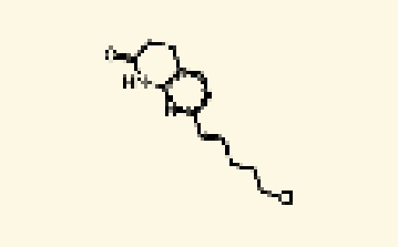 O=C1CCc2ccc(/C=C/CCCCl)nc2N1